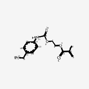 C=C(C)C(=O)OCCOC(=O)Nc1ccc(CC(C)C)cc1